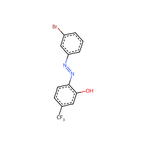 Oc1cc(C(F)(F)F)ccc1N=Nc1cccc(Br)c1